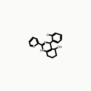 OC1CCCC2=C1C(c1ccccc1Cl)N=C(c1ccccn1)N2